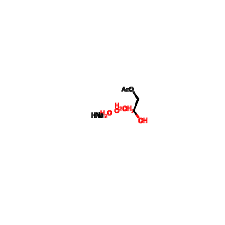 CC(=O)OCCO.O.O.O.[NaH]